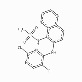 CS(=O)(=O)Nc1c(Nc2nc(Cl)ncc2Cl)ccc2nccnc12